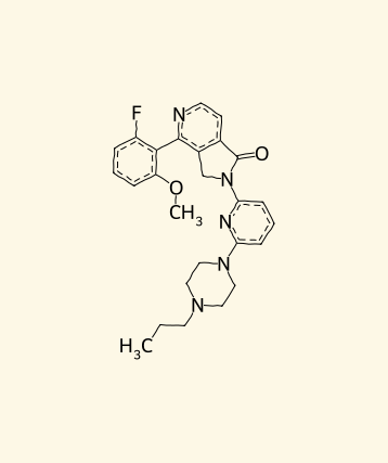 CCCN1CCN(c2cccc(N3Cc4c(ccnc4-c4c(F)cccc4OC)C3=O)n2)CC1